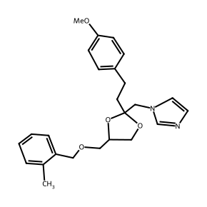 COc1ccc(CCC2(Cn3ccnc3)OCC(COCc3ccccc3C)O2)cc1